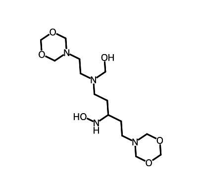 OCN(CCC(CCN1COCOC1)NO)CCN1COCOC1